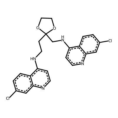 Clc1ccc2c(NCCC3(CNc4ccnc5cc(Cl)ccc45)OCCO3)ccnc2c1